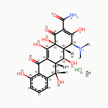 CN(C)[C@@H]1C(O)=C(C(N)=O)C(=O)[C@@]2(O)C(O)=C3C(=O)c4c(O)cccc4[C@@](C)(O)[C@H]3[C@H](O)[C@@H]12.Cl.[Zn]